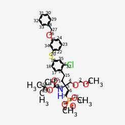 COCOCC(/C=C/P(=O)(OC)OC)(CCc1ccc(Sc2cccc(OCc3ccccc3)c2)cc1Cl)NC(=O)OC(C)(C)C